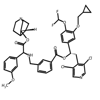 COc1cccc(C(NCc2cccc(C(=O)O[C@@H](Cc3c(Cl)cncc3Cl)c3ccc(OC(F)F)c(OCC4CC4)c3)c2)C(=O)O[C@H]2CN3CCC2CC3)c1